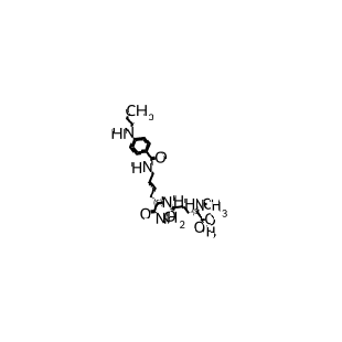 CCCNc1ccc(C(=O)NCCCC[C@H](NC(=O)CC[C@H](NC)C(=O)O)C(N)=O)cc1